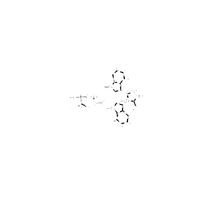 Cn1cc(-c2n[nH]c(=O)n2-c2cn(CCCN)c3ccccc23)c2ccccc21.O=C(O)C(F)(F)F